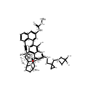 CC(C)[Si](C#Cc1cccc2cc(NC(=O)OC(C)(C)C)cc(-c3nc4c5c(nc(OCC6(CN7CC(F)(F)C7)CC6)nc5c3F)N3C[C@H]5CC[C@@H]([C@H]3[C@H](C)O4)N5C(=O)OC(C)(C)C)c12)(C(C)C)C(C)C